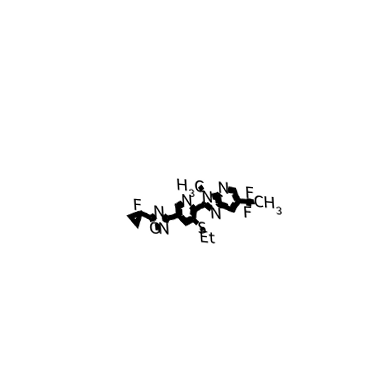 CCSc1cc(-c2noc(C3(F)CC3)n2)cnc1-c1nc2cc(C(C)(F)F)cnc2n1C